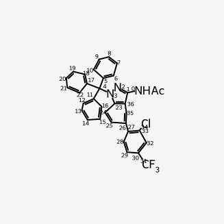 CC(=O)Nc1nn(C(c2ccccc2)(c2ccccc2)c2ccccc2)c2ccc(-c3ccc(C(F)(F)F)cc3Cl)cc12